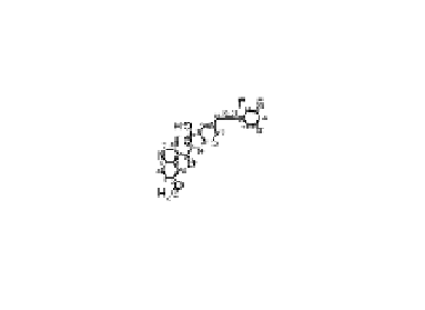 COc1ccc2ncc(F)c(C(=O)CC[C@H]3CCN(CC#Cc4cc(F)cc(F)c4F)C[C@H]3C(=O)O)c2c1